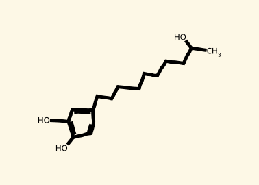 CC(O)CCCCCCCCc1ccc(O)c(O)c1